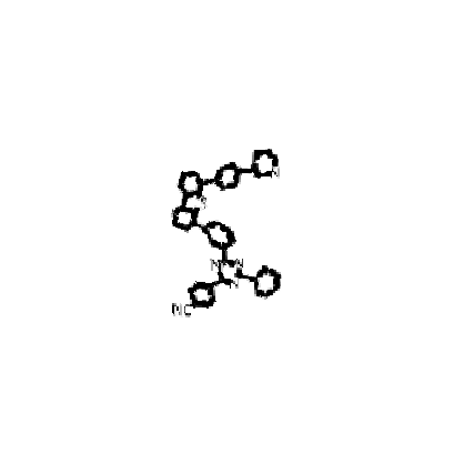 N#Cc1ccc(-c2nc(-c3ccccc3)nc(-c3cccc(-c4cccc5c4sc4c(-c6ccc(-c7cccnc7)cc6)cccc45)c3)n2)cc1